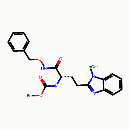 CCCCCCCCn1c(CC[C@H](NC(=O)OC(C)(C)C)C(=O)NOCc2ccccc2)nc2ccccc21